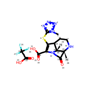 Cn1nnnc1SC1=C(C(=O)O)N2C(=O)[C@H]3NCCC1[C@H]32.O=C(O)C(F)(F)F